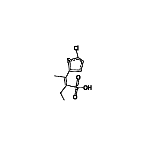 CCC(=C(C)c1ccc(Cl)s1)S(=O)(=O)O